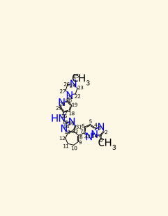 Cc1cnc2ccc(C3=CCCCc4nc(Nc5ccc(N6CCN(C)CC6)nc5)ncc43)nn12